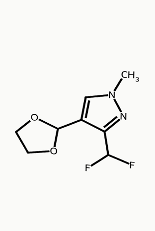 Cn1cc(C2OCCO2)c(C(F)F)n1